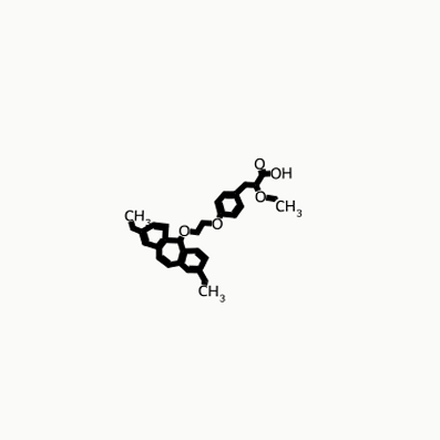 CCOC(Cc1ccc(OCCOC2c3ccc(CC)cc3C=Cc3cc(CC)ccc32)cc1)C(=O)O